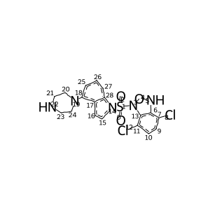 O=S(=O)(N1ONc2c(Cl)ccc(Cl)c21)n1ccc2c(N3CCNCC3)cccc21